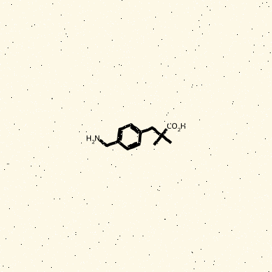 CC(C)(Cc1ccc(CN)cc1)C(=O)O